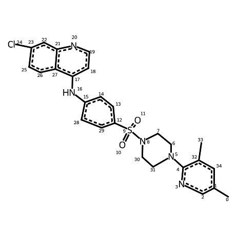 Cc1cnc(N2CCN(S(=O)(=O)c3ccc(Nc4ccnc5cc(Cl)ccc45)cc3)CC2)c(C)c1